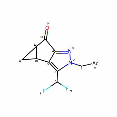 CC(=O)Cn1nc2c(c1C(F)F)C1CC1C2=O